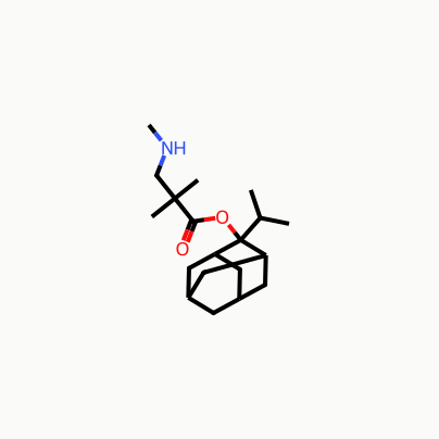 CNCC(C)(C)C(=O)OC1(C(C)C)C2CC3CC(C2)CC1C3